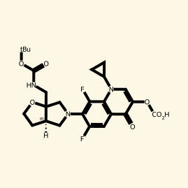 CC(C)(C)OC(=O)NCC12CN(c3c(F)cc4c(=O)c(OC(=O)O)cn(C5CC5)c4c3F)C[C@H]1CCO2